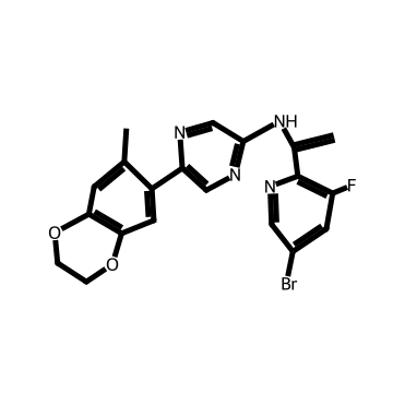 C=C(Nc1cnc(-c2cc3c(cc2C)OCCO3)cn1)c1ncc(Br)cc1F